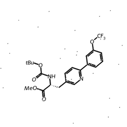 COC(=O)[C@@H](Cc1ccc(-c2cccc(OC(F)(F)F)c2)nc1)NC(=O)OC(C)(C)C